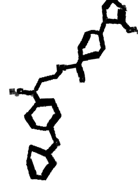 Cc1nccn1-c1ccc(C(=O)NCCN(C)c2ccc(Oc3ccccc3)cc2)cc1